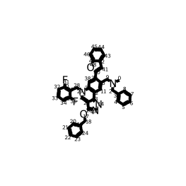 CN(Cc1ccccc1)Cc1cc2c3nnc(OCc4ccccc4)c-3cn(Cc3c(F)cccc3F)c2cc1-c1cc2ccccc2o1